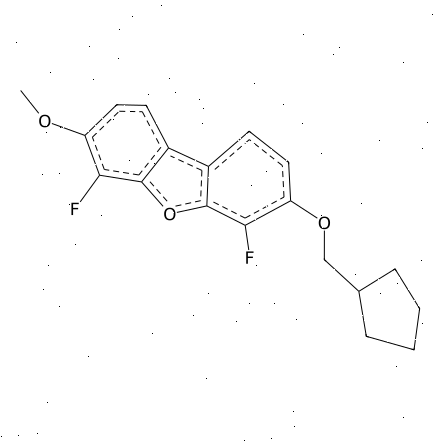 COc1ccc2c(oc3c(F)c(OCC4CCCC4)ccc32)c1F